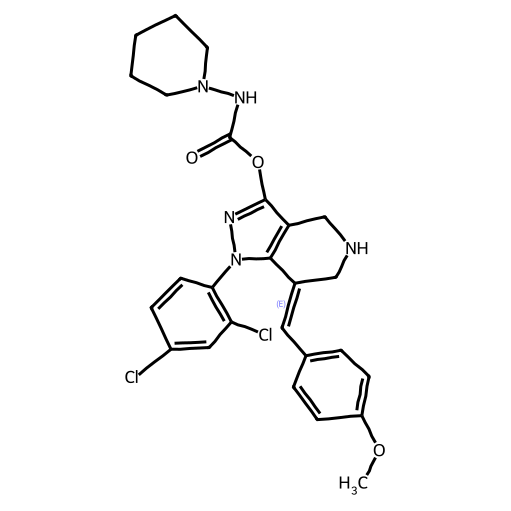 COc1ccc(/C=C2\CNCc3c(OC(=O)NN4CCCCC4)nn(-c4ccc(Cl)cc4Cl)c32)cc1